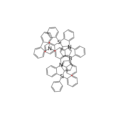 c1ccc([Si](c2ccccc2)(c2ccccc2)c2ccccc2N2c3ccccc3B3c4ccccc4N(c4ccccc4[Si](c4ccccc4)(c4ccccc4)c4ccccc4)c4cc(-n5c6ccccc6c6ccccc65)cc2c43)cc1